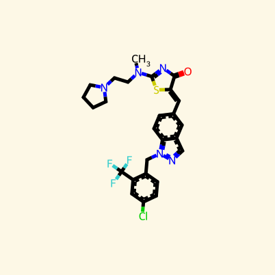 CN(CCN1CCCC1)C1=NC(=O)/C(=C/c2ccc3c(cnn3Cc3ccc(Cl)cc3C(F)(F)F)c2)S1